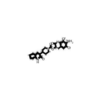 NC(=O)[C@@H](Cc1cc(Cl)c(N)c(C(F)(F)F)c1)OC(=O)N1CCC(c2cc3ccccc3[nH]c2=O)CC1